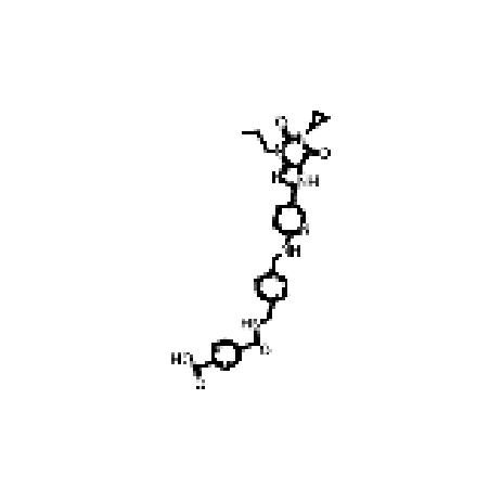 CCCn1c(=O)n(C2CC2)c(=O)c2[nH]c(-c3ccc(NCc4ccc(CNC(=O)c5ccc(C(=O)O)cc5)cc4)nc3)nc21